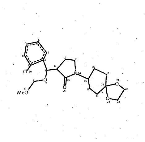 COCOC(c1ccccc1Cl)C1CCN(C2CCC3(CC2)OCCO3)C1=O